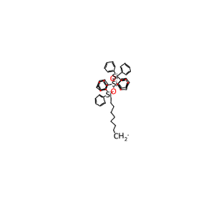 [CH2]CCCCCCCC[Si](O[Si](O[Si](c1ccccc1)(c1ccccc1)c1ccccc1)(c1ccccc1)c1ccccc1)(c1ccccc1)c1ccccc1